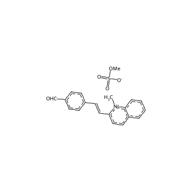 COS(=O)(=O)[O-].C[n+]1c(C=Cc2ccc(C=O)cc2)ccc2ccccc21